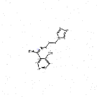 CC/C(=N/CCCn1ccnc1)c1ccccc1O